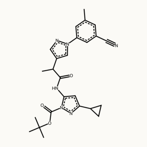 Cc1cc(C#N)cc(-n2cc(C(C)C(=O)Nc3cc(C4CC4)nn3C(=O)OC(C)(C)C)cn2)c1